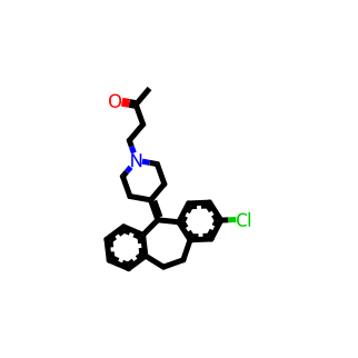 CC(=O)CCN1CCC(=C2c3ccccc3CCc3cc(Cl)ccc32)CC1